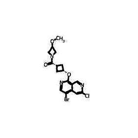 COC1CN(C(=O)[C@H]2C[C@@H](Oc3ncc(Br)c4cc(Cl)ncc34)C2)C1